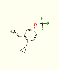 C=Cc1cc(OC(F)(F)F)ccc1C1CC1